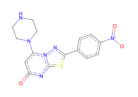 O=c1cc(N2CCNCC2)n2nc(-c3ccc([N+](=O)[O-])cc3)sc2n1